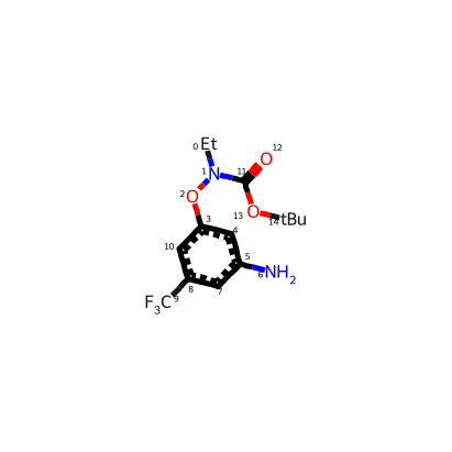 CCN(Oc1cc(N)cc(C(F)(F)F)c1)C(=O)OC(C)(C)C